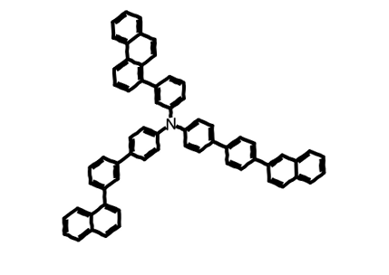 c1cc(-c2ccc(N(c3ccc(-c4ccc(-c5ccc6ccccc6c5)cc4)cc3)c3cccc(-c4cccc5c4ccc4ccccc45)c3)cc2)cc(-c2cccc3ccccc23)c1